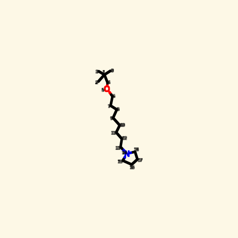 CC(C)(C)COCCCCCCCCN1CCCC1